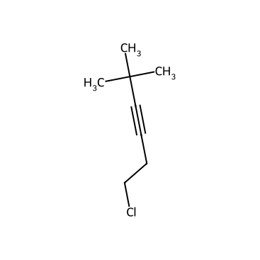 CC(C)(C)C#CCCCl